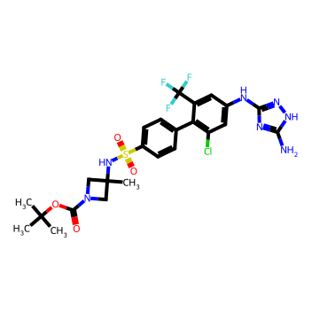 CC1(NS(=O)(=O)c2ccc(-c3c(Cl)cc(Nc4n[nH]c(N)n4)cc3C(F)(F)F)cc2)CN(C(=O)OC(C)(C)C)C1